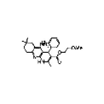 COCCOC(=O)C1=C(C)Nc2nc3c(c(N)c2C1c1ccccc1Cl)CC(C)(C)CC3